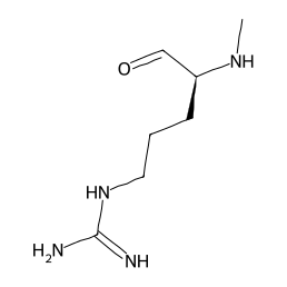 CN[C@H](C=O)CCCNC(=N)N